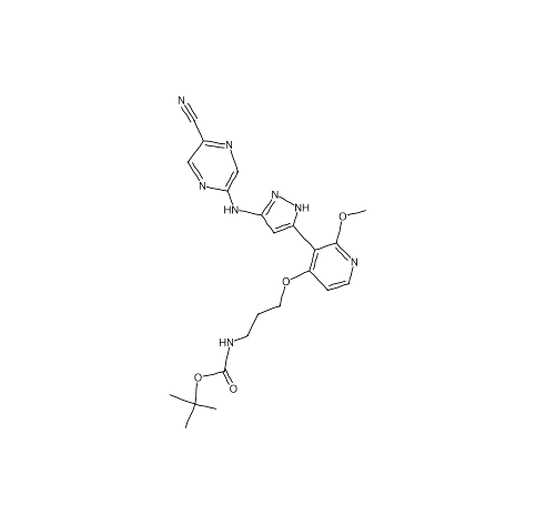 COc1nccc(OCCCNC(=O)OC(C)(C)C)c1-c1cc(Nc2cnc(C#N)cn2)n[nH]1